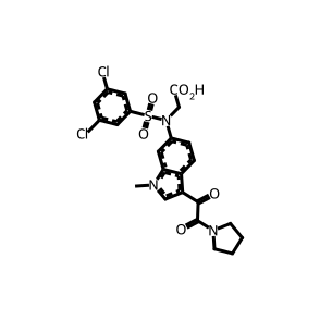 Cn1cc(C(=O)C(=O)N2CCCC2)c2ccc(N(CC(=O)O)S(=O)(=O)c3cc(Cl)cc(Cl)c3)cc21